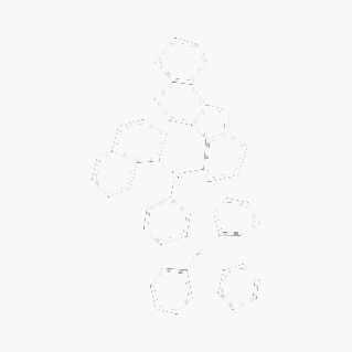 c1ccc([Si](c2ccccc2)(c2ccccc2)c2cccc(N(c3cccc4ccccc34)c3cccc4oc5c6ccccc6ccc5c34)c2)cc1